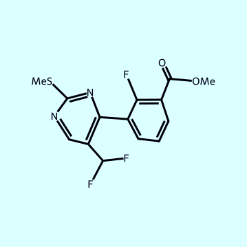 COC(=O)c1cccc(-c2nc(SC)ncc2C(F)F)c1F